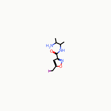 CC(N)C(C)NC(=O)c1cc(CI)on1